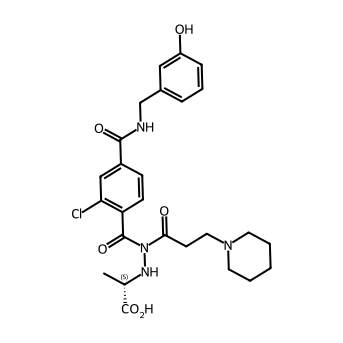 C[C@H](NN(C(=O)CCN1CCCCC1)C(=O)c1ccc(C(=O)NCc2cccc(O)c2)cc1Cl)C(=O)O